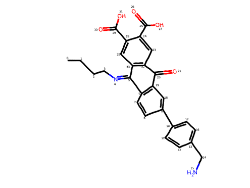 CCCCN=C1c2ccc(-c3ccc(CN)cc3)cc2C(=O)c2cc(C(=O)O)c(C(=O)O)cc21